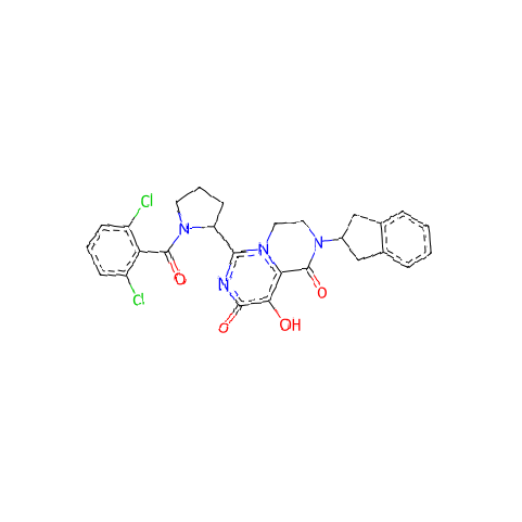 O=C1c2c(O)c(=O)nc(C3CCCN3C(=O)c3c(Cl)cccc3Cl)n2CCN1C1Cc2ccccc2C1